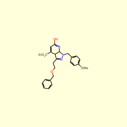 CCOC(=O)C1=CC(O)=NC2C1C(CCOCc1ccccc1)=NN2Cc1ccc(OC)cc1